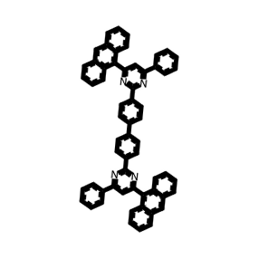 c1ccc(-c2cc(-c3c4ccccc4cc4ccccc34)nc(-c3ccc(-c4ccc(-c5nc(-c6ccccc6)cc(-c6c7ccccc7cc7ccccc67)n5)cc4)cc3)n2)cc1